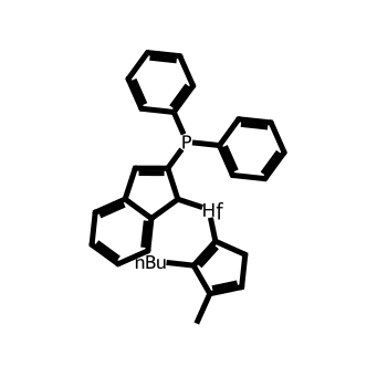 CCCCC1=[C]([Hf][CH]2C(P(c3ccccc3)c3ccccc3)=Cc3ccccc32)CC=C1C